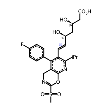 CC(C)c1nc2c(c(-c3ccc(F)cc3)c1/C=C/[C@@H](O)C[C@@H](O)CC(=O)O)CN=C(S(C)(=O)=O)O2